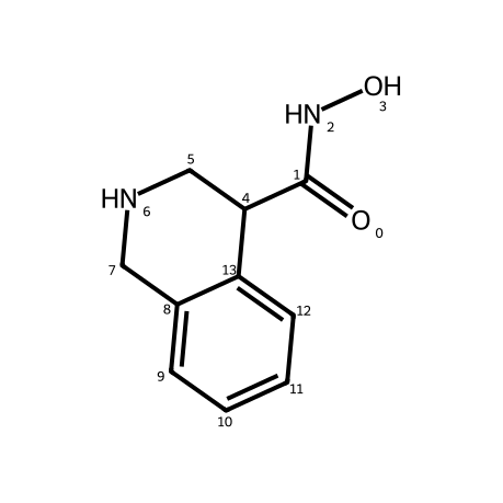 O=C(NO)C1CNCc2ccccc21